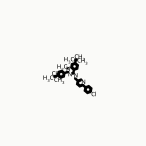 C=N/C(=N\C(=N/Cc1ccc(-c2ccc(Cl)cc2)nc1)c1ccc(C(C)(C)C)cc1)c1ccc(C(C)(C)C)cc1